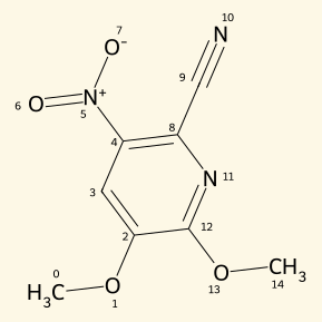 COc1cc([N+](=O)[O-])c(C#N)nc1OC